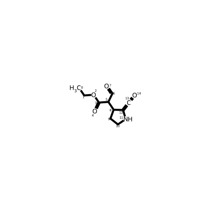 CCOC(=O)C(C=O)C1CCNC1=C=O